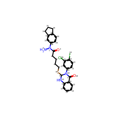 NN(C(=O)CCCCSC1Nc2ccccc2C(=O)N1c1ccc(F)c(Cl)c1)c1ccc2c(c1)CCC2